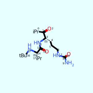 CC(C)C(=O)[C@H](CCCNC(N)=O)NC(=O)[C@@H](NC(C)(C)C)C(C)C